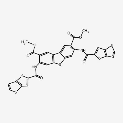 COC(=O)c1cc2c(cc1NC(=O)c1cc3sccc3s1)sc1cc(NC(=O)c3cc4sccc4s3)c(C(=O)OC)cc12